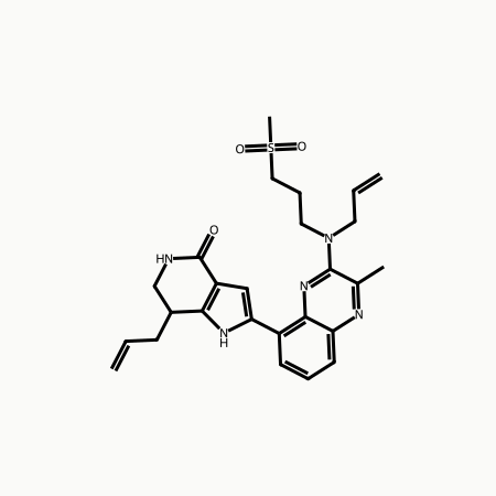 C=CCC1CNC(=O)c2cc(-c3cccc4nc(C)c(N(CC=C)CCCS(C)(=O)=O)nc34)[nH]c21